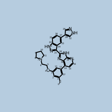 Fc1cc(OCCN2CCCC2)cc(-c2ccnc3[nH]c(-c4n[nH]c5ccc(-c6cn[nH]c6)cc45)nc23)c1